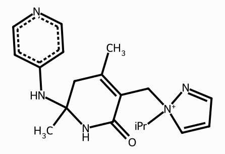 CC1=C(C[N+]2(C(C)C)C=CC=N2)C(=O)NC(C)(Nc2ccncc2)C1